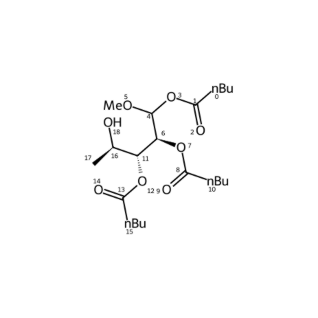 CCCCC(=O)OC(OC)[C@@H](OC(=O)CCCC)[C@H](OC(=O)CCCC)[C@@H](C)O